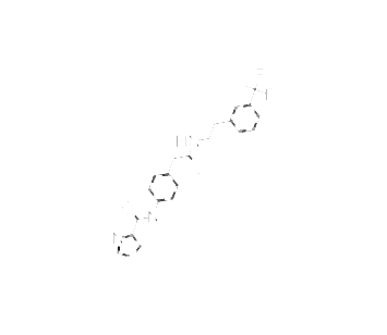 O=C(Cc1ccc(NC(=O)c2cscn2)cc1)NCCc1cccc(C(F)(F)F)c1